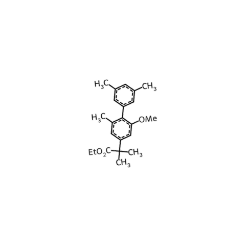 CCOC(=O)C(C)(C)c1cc(C)c(-c2cc(C)cc(C)c2)c(OC)c1